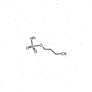 CCCS(=O)(=O)OCCCC#N